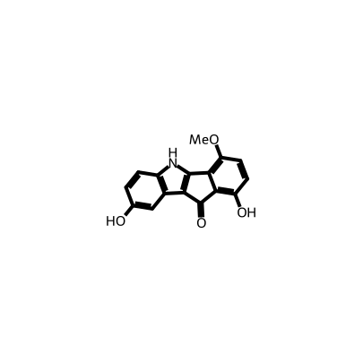 COc1ccc(O)c2c1-c1[nH]c3ccc(O)cc3c1C2=O